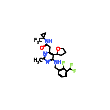 Cc1nc(CC(=O)NC2(C(F)(F)F)CC2)c(C2CCCO2)c(NCc2cccc(C(F)F)c2F)n1